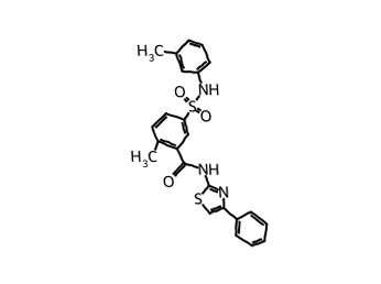 Cc1cccc(NS(=O)(=O)c2ccc(C)c(C(=O)Nc3nc(-c4ccccc4)cs3)c2)c1